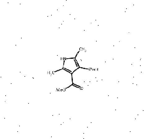 CCCC(C)c1c(C)[nH]c(C)c1C(=O)OC